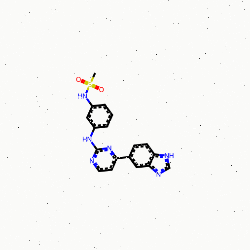 CS(=O)(=O)Nc1cccc(Nc2nccc(-c3ccc4[nH]cnc4c3)n2)c1